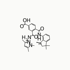 C[C@@H]1CC(C)(C)c2cccc(NC(=O)c3ccc(C(=O)O)cc3C(N)=O)c21.Cc1cc(C)n(C)n1